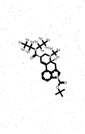 [2H]C([2H])([2H])N1C[C@H](C(=O)N(C([2H])([2H])C([2H])([2H])[2H])C([2H])([2H])C([2H])([2H])[2H])C=C2c3cccc4c3c(cn4C(=O)OC(C)(C)C)C[C@H]21